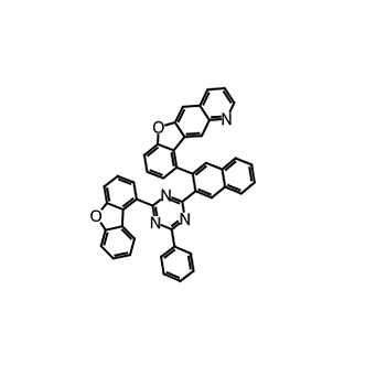 c1ccc(-c2nc(-c3cc4ccccc4cc3-c3cccc4oc5cc6cccnc6cc5c34)nc(-c3cccc4oc5ccccc5c34)n2)cc1